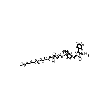 CN1C(=O)/C(=C/c2ccc(N(C)CCOC(=O)NCCOCCOCCCCCCCl)cc2)N=C1c1ccccc1